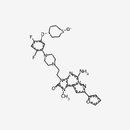 Cn1c(=O)n(CCN2CCN(c3cc(O[C@H]4CC[S@@+]([O-])CC4)c(F)cc3F)CC2)c2nc(N)n3nc(-c4ccco4)cc3c21